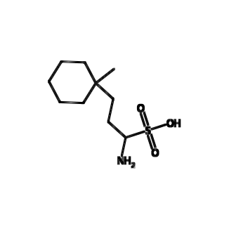 CC1(CCC(N)S(=O)(=O)O)CCCCC1